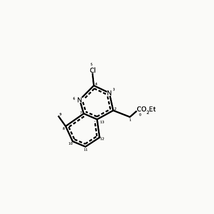 CCOC(=O)Cc1nc(Cl)nc2c(C)cccc12